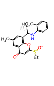 CC[S+]([O-])c1cc(=O)c2cc(C)cc(C(C)Nc3ccccc3C(=O)O)c2o1